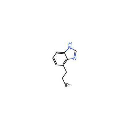 CC(C)CCc1cccc2[nH]cnc12